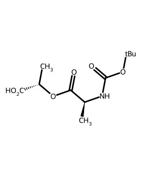 C[C@H](NC(=O)OC(C)(C)C)C(=O)O[C@@H](C)C(=O)O